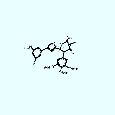 COc1cc(C2C(=O)N(C)C(=N)N[C@]2(C)c2cc(-c3cc(N)cc(F)c3)cs2)cc(OC)c1OC